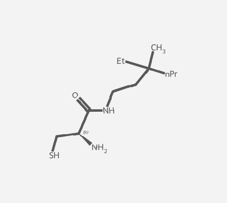 CCCC(C)(CC)CCNC(=O)[C@@H](N)CS